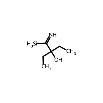 CCC(O)(CC)C(=N)[SiH3]